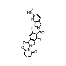 CNc1ccc2c(n1)CN(C(=O)c1c(F)cc3c(c1F)CN(N1C(=O)CCCC1=O)C3=O)C2